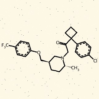 C[C@@H]1CC[C@@H](COc2ccc(C(F)(F)F)cc2)CN1CC(=O)C1(c2ccc(Cl)cc2)CCC1